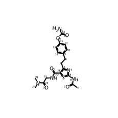 CC(=O)Nc1nc(CCc2ccc(OC(N)=O)cc2)c(C(=O)NCC(=O)N(C)C)s1